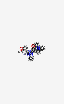 C=C(/C=C\c1c(C)oc2c1C=CCC2)c1nc(-c2ccccc2)nc(-c2ccc3c(c2)oc2cccc(-n4c5ccccc5c5ccccc54)c23)n1